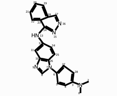 CN(C)c1ccc(-n2cnc3cc(Nc4nncc5ccccc45)ccc32)cc1